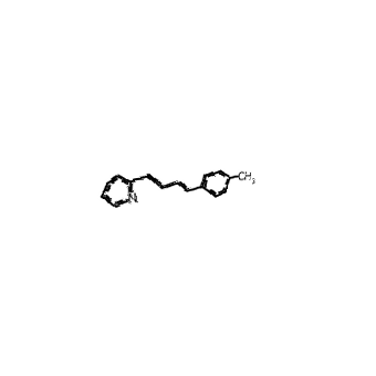 Cc1ccc(C=CC=Cc2ccccn2)cc1